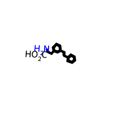 NC(Cc1cccc(C=Cc2ccccc2)c1)C(=O)O